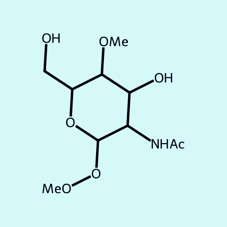 COOC1OC(CO)C(OC)C(O)C1NC(C)=O